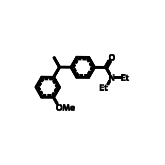 CCN(CC)C(=O)c1ccc(C(C)c2cccc(OC)c2)cc1